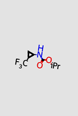 CC(C)OC(=O)N[C@H]1C[C@@H]1C(F)(F)F